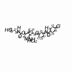 Cl.Nc1ncc(OC(=O)NCCCO)c2scc(COc3cccc(NC(=O)c4ccc(Cl)cc4)c3)c12